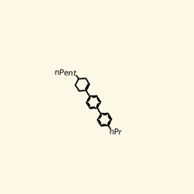 CCCCCC1CC=C(c2ccc(-c3ccc(CCC)cc3)cc2)CC1